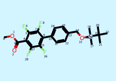 COC(=O)c1c(F)c(F)c(-c2ccc(CO[Si](C)(C)C(C)(C)C)cc2)c(F)c1F